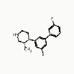 C[C@@H]1CNCCN1c1cc(F)cc(-c2cccc(F)c2)c1